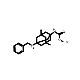 CC12CC3(C)CC(NCc4ccccc4)(C1)CC(NC(=O)OC(C)(C)C)(C2)C3